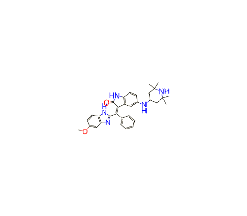 COc1ccc2[nH]c(C(=C3C(=O)Nc4ccc(NC5CC(C)(C)NC(C)(C)C5)cc43)c3ccccc3)nc2c1